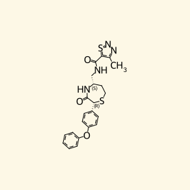 Cc1nnsc1C(=O)NC[C@@H]1CCS[C@H](c2ccc(Oc3ccccc3)cc2)C(=O)N1